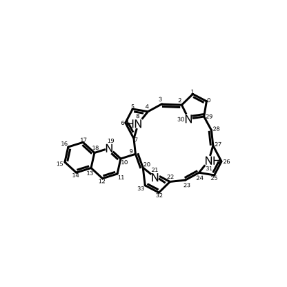 C1=Cc2cc3ccc([nH]3)c(-c3ccc4ccccc4n3)c3nc(cc4ccc(cc1n2)[nH]4)C=C3